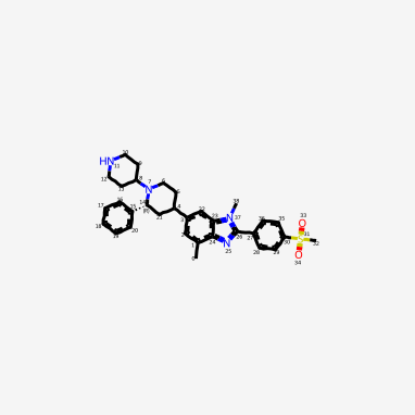 Cc1cc(C2CCN(C3CCNCC3)[C@@H](c3ccccc3)C2)cc2c1nc(-c1ccc(S(C)(=O)=O)cc1)n2C